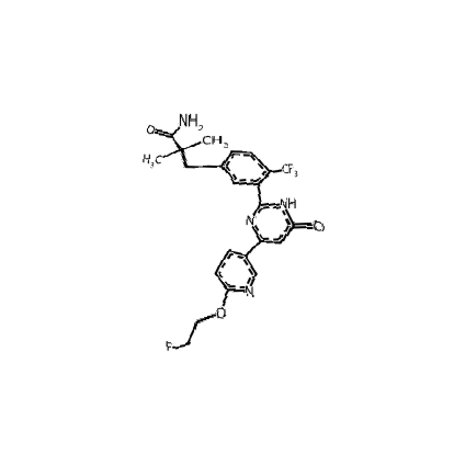 CC(C)(Cc1ccc(C(F)(F)F)c(-c2nc(-c3ccc(OCCF)nc3)cc(=O)[nH]2)c1)C(N)=O